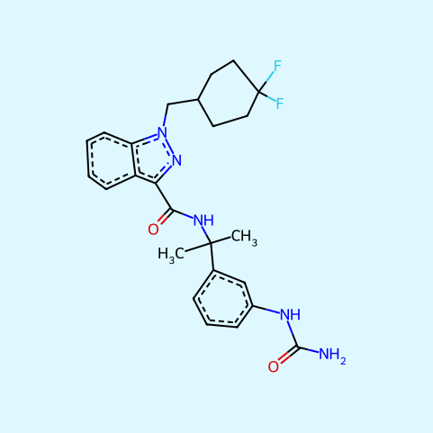 CC(C)(NC(=O)c1nn(CC2CCC(F)(F)CC2)c2ccccc12)c1cccc(NC(N)=O)c1